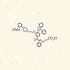 CCOC(=O)CCCn1cc(C(=O)c2ccc(NC(c3ccccc3)c3ccccc3)c(OCCCN3CCN(c4ccccc4OC)CC3)c2)c2ccccc21